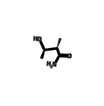 C[C@H](C(N)=O)[C@@H](C)O